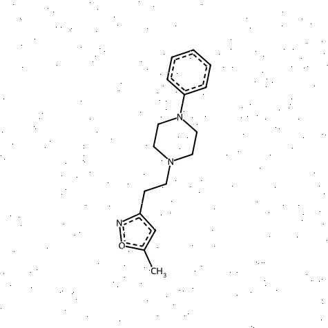 Cc1cc(CCN2CCN(c3ccccc3)CC2)no1